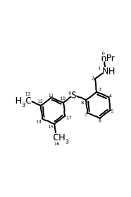 CCCNCc1ccccc1Sc1cc(C)cc(C)c1